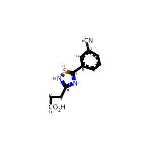 N#Cc1cccc(-c2nc(CCC(=O)O)ns2)c1